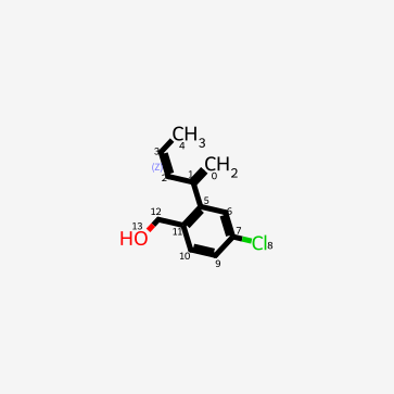 C=C(/C=C\C)c1cc(Cl)ccc1CO